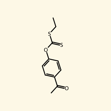 CCSC(=S)Oc1ccc(C(C)=O)cc1